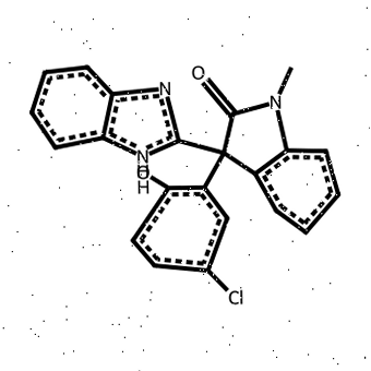 CN1C(=O)C(c2nc3ccccc3[nH]2)(c2cc(Cl)ccc2O)c2ccccc21